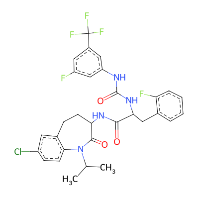 CC(C)N1C(=O)C(NC(=O)C(Cc2ccccc2F)NC(=O)Nc2cc(F)cc(C(F)(F)F)c2)CCc2cc(Cl)ccc21